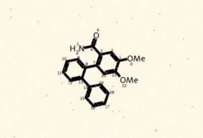 COc1cc(C(N)=O)c(-c2ccccc2-c2ccccc2)cc1OC